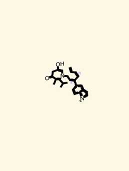 C=C/C=C\C(=C/CN1C=C(O)CC(=O)C(C)=C1C(C)C)c1ccc2c(ccn2C)c1